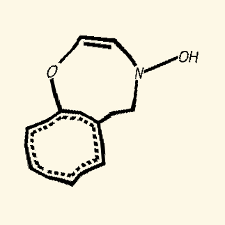 ON1C=COc2ccccc2C1